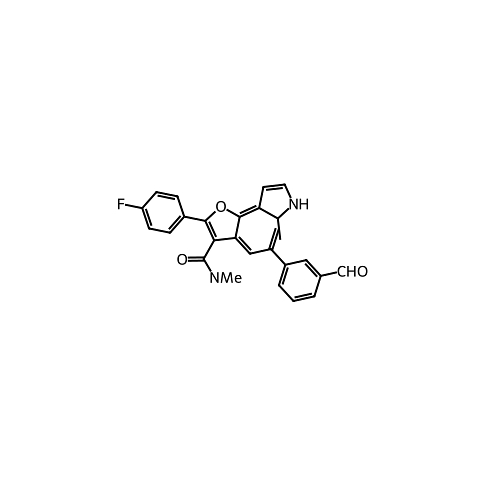 C=C(/C=c1/c(C(=O)NC)c(-c2ccc(F)cc2)o/c1=C1\C=CNC1C)c1cccc(C=O)c1